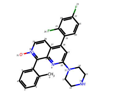 Cc1ccccc1-c1c2nc(N3CCNCC3)cc(-c3ccc(F)cc3F)c2cc[n+]1[O-]